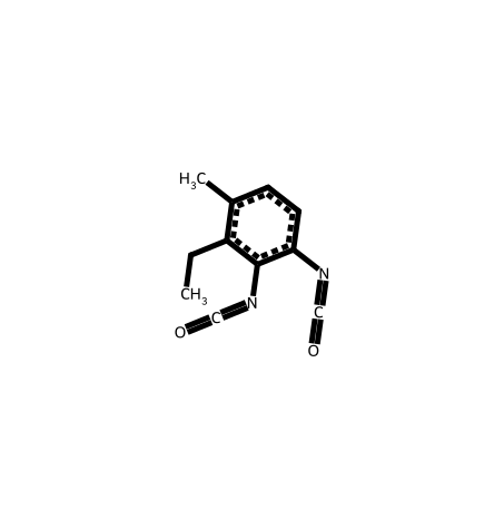 CCc1c(C)ccc(N=C=O)c1N=C=O